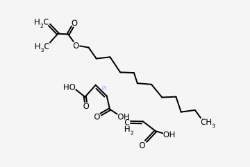 C=C(C)C(=O)OCCCCCCCCCCCC.C=CC(=O)O.O=C(O)/C=C\C(=O)O